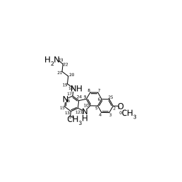 COc1ccc2c(ccc3c2[nH]c2c(C)cnc(NCCCCN)c23)c1